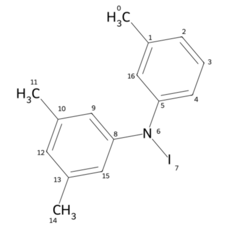 Cc1cccc(N(I)c2cc(C)cc(C)c2)c1